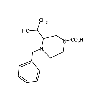 CC(O)C1CN(C(=O)O)CCN1Cc1ccccc1